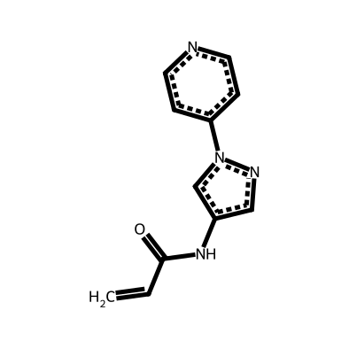 C=CC(=O)Nc1cnn(-c2ccncc2)c1